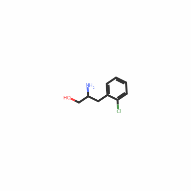 NC(CO)Cc1ccccc1Cl